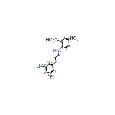 O=C(O)c1cc([N+](=O)[O-])ccc1NCCCc1cc(Cl)cc(Cl)c1